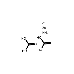 N.O=C(O)O.O=C(O)O.[Zn].[Zr]